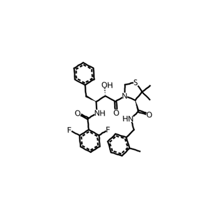 Cc1ccccc1CNC(=O)[C@H]1N(C(=O)[C@@H](O)[C@H](Cc2ccccc2)NC(=O)c2c(F)cccc2F)CSC1(C)C